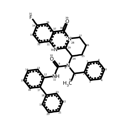 CC(c1ccccc1)N(C(=O)Nc1ccccc1-c1ccccc1)C1CCCn2c1nc1ccc(F)cc1c2=O